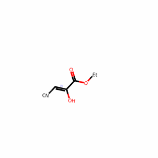 [C-]#[N+]/C=C(\O)C(=O)OCC